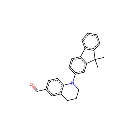 CC1(C)c2ccccc2-c2ccc(N3CCCc4cc(C=O)ccc43)cc21